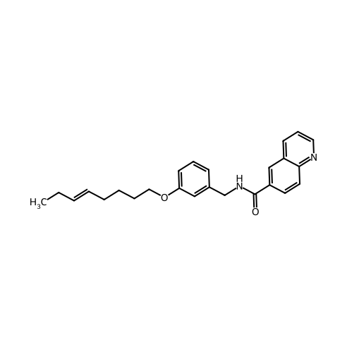 CC/C=C/CCCCOc1cccc(CNC(=O)c2ccc3ncccc3c2)c1